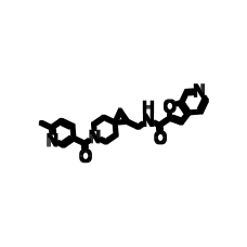 Cc1ccc(C(=O)N2CCC3(CC2)CC3CNC(=O)c2cc3ccncc3o2)cn1